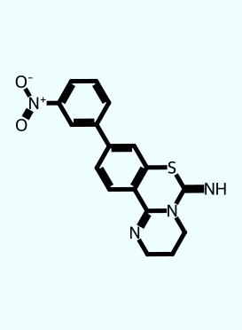 N=C1Sc2cc(-c3cccc([N+](=O)[O-])c3)ccc2C2=NCCCN12